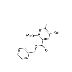 COc1cc(F)c(O)cc1C(=O)OCc1ccccc1